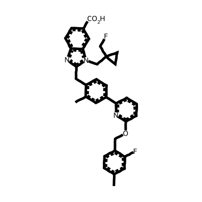 Cc1ccc(COc2cccc(-c3ccc(Cc4nc5ccc(C(=O)O)cc5n4CC4(CF)CC4)c(C)c3)n2)c(F)c1